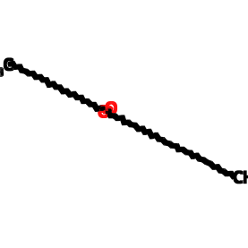 CCCCCCCCCCCCCCCCCCCCCCCCCCCCCCCCCCCCCCC(=O)OCCCCCCCCCCCCCCCCCCCCCCCCCCCC